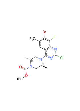 C[C@@H]1CN(c2nc(Cl)nc3c(F)c(Br)c(C(F)(F)F)cc23)[C@@H](C)CN1C(=O)OC(C)(C)C